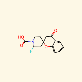 O=C1CC2(CCN(C(=O)O)C(F)C2)Oc2ccccc21